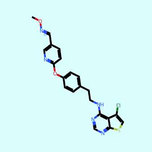 CO/N=C/c1ccc(Oc2ccc(CCNc3ncnc4scc(Cl)c34)cc2)nc1